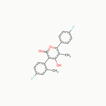 Cc1cc(F)ccc1-c1c(O)c(C)c(-c2ccc(F)cc2)oc1=O